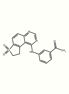 CC(=O)c1cccc(Nc2ncnc3ccc4c(c23)CCS4(=O)=O)c1